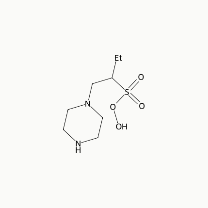 CCC(CN1CCNCC1)S(=O)(=O)OO